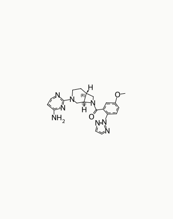 COc1ccc(-n2nccn2)c(C(=O)N2C[C@H]3CCN(c4nccc(N)n4)C[C@H]32)c1